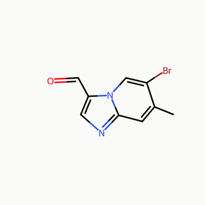 Cc1cc2ncc(C=O)n2cc1Br